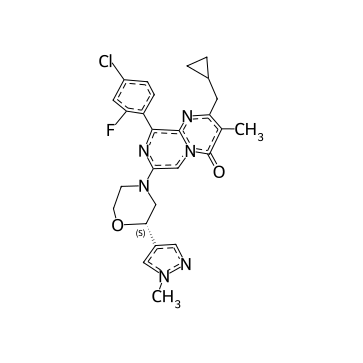 Cc1c(CC2CC2)nc2c(-c3ccc(Cl)cc3F)nc(N3CCO[C@@H](c4cnn(C)c4)C3)cn2c1=O